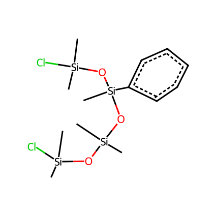 C[Si](C)(Cl)O[Si](C)(C)O[Si](C)(O[Si](C)(C)Cl)c1ccccc1